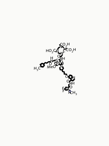 C/N=C/[C@H]1CC(F)(F)CN1C(=O)CNC(=O)c1ccnc2ccc(OCCCCC3CCN(C(=O)[C@H](CC(=O)OC)NC(=O)[C@H](CSCCNC(=O)CCCc4ccc(C)cc4)NC(=O)CN4CCN(CC(=O)O)CCN(CC(=O)O)CCN(CC(=O)O)CC4)CC3)cc12